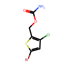 NC(=O)OCc1sc(Br)cc1Cl